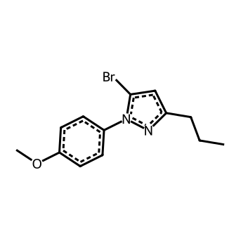 CCCc1cc(Br)n(-c2ccc(OC)cc2)n1